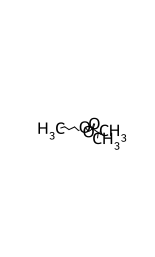 CCCCCOOC(=O)C(C)C